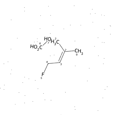 CC(C)=CCF.O=C(O)O